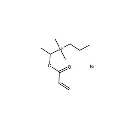 C=CC(=O)OC(C)[N+](C)(C)CCC.[Br-]